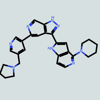 c1cc2[nH]c(-c3n[nH]c4cnc(-c5cncc(CN6CCCC6)c5)cc34)cc2c(N2CCCCC2)n1